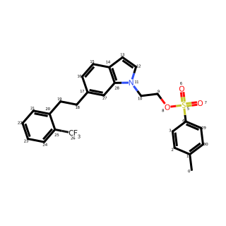 Cc1ccc(S(=O)(=O)OCCn2ccc3ccc(CCc4ccccc4C(F)(F)F)cc32)cc1